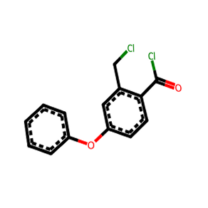 O=C(Cl)c1ccc(Oc2ccccc2)cc1CCl